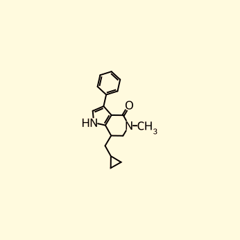 CN1CC(CC2CC2)c2[nH]cc(-c3ccccc3)c2C1=O